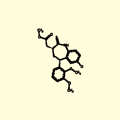 COC(=O)C[C@H]1S[C@H](c2cccc(OC)c2OC)c2cc(Cl)ccc2NC1=S